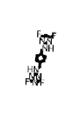 Fc1cc(F)nc(NCc2ccc(CNc3nc(F)nc(F)n3)cc2)n1